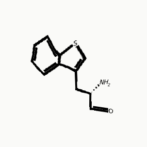 N[C@H](C=O)Cc1csc2ccccc12